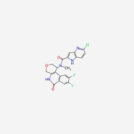 CN(C(=O)c1cc2nc(Cl)ccc2[nH]1)C1COCc2[nH]c(=O)c3cc(F)c(F)cc3c21